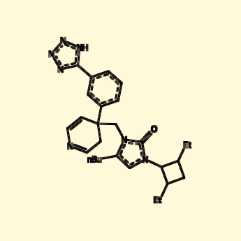 CCCCc1cn(C2C(CC)CC2CC)c(=O)n1CC1(c2cccc(-c3nnn[nH]3)c2)C=CN=CC1